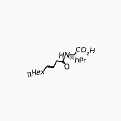 CCCCCCC=CCC(=O)N[C@@H](CCC)C(=O)O